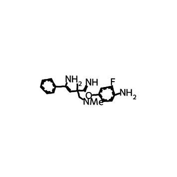 CNCC(C)(/C=C(\N)c1ccccc1)C(=N)Oc1ccc(N)c(F)c1